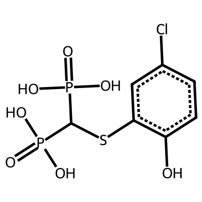 O=P(O)(O)C(Sc1cc(Cl)ccc1O)P(=O)(O)O